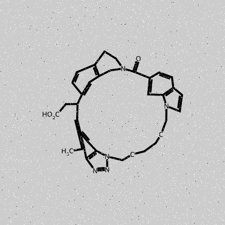 Cc1c2ccc3c1nnn3CCCCCCn1ccc3ccc(cc31)C(=O)N1CCc3ccc(cc3C1)C2CC(=O)O